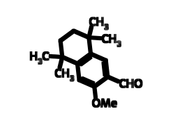 COc1cc2c(cc1C=O)C(C)(C)CCC2(C)C